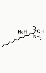 CCCCCCCCCCCCC(N)C(=O)O.[NaH]